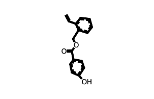 C=Cc1ccccc1COC(=O)c1ccc(O)cc1